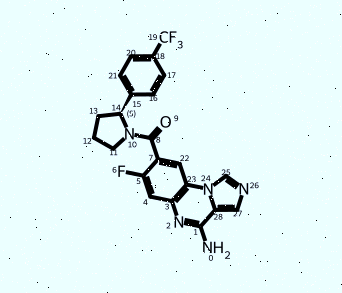 Nc1nc2cc(F)c(C(=O)N3CCC[C@H]3c3ccc(C(F)(F)F)cc3)cc2n2cncc12